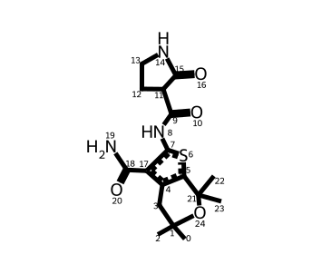 CC1(C)Cc2c(sc(NC(=O)C3CCNC3=O)c2C(N)=O)C(C)(C)O1